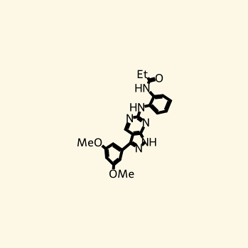 CCC(=O)Nc1ccccc1Nc1ncc2c(-c3cc(OC)cc(OC)c3)n[nH]c2n1